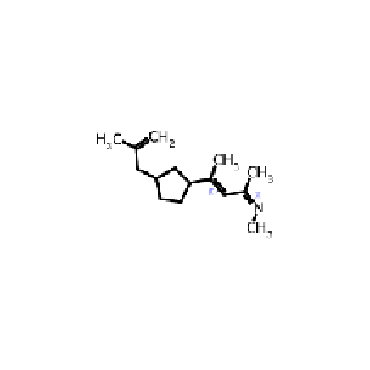 C=C(C)CC1CCC(/C(C)=C/C(C)=N\C)C1